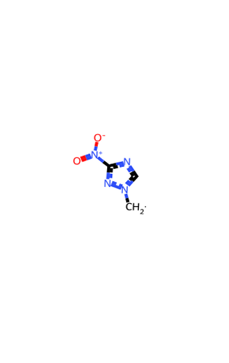 [CH2]n1cnc([N+](=O)[O-])n1